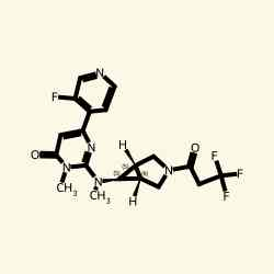 CN(c1nc(-c2ccncc2F)cc(=O)n1C)[C@H]1[C@@H]2CN(C(=O)CC(F)(F)F)C[C@@H]21